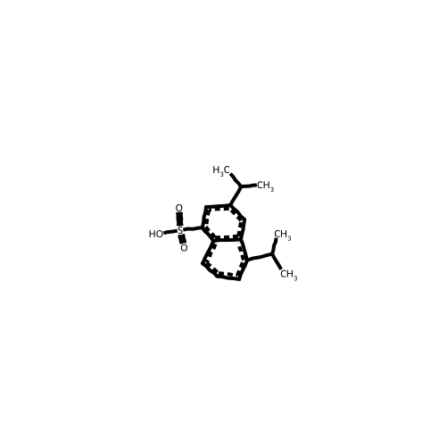 CC(C)c1cc(S(=O)(=O)O)c2cccc(C(C)C)c2c1